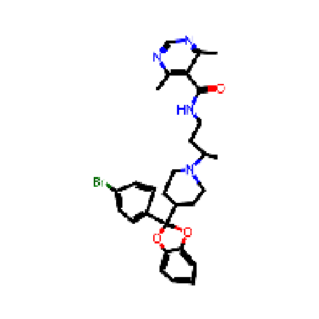 Cc1ncnc(C)c1C(=O)NCCC(C)N1CCC(C2(c3ccc(Br)cc3)Oc3ccccc3O2)CC1